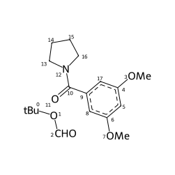 CC(C)(C)OC=O.COc1cc(OC)cc(C(=O)N2CCCC2)c1